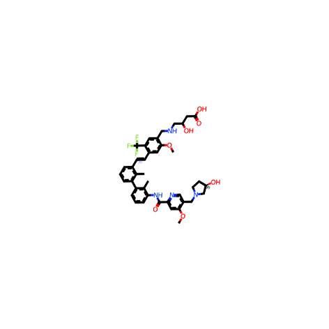 COc1cc(/C=C/c2cccc(-c3cccc(NC(=O)c4cc(OC)c(CN5CC[C@@H](O)C5)cn4)c3C)c2C)c(C(F)(F)F)cc1CNCC(O)CC(=O)O